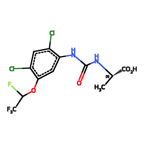 C[C@H](NC(=O)Nc1cc(OC(F)C(F)(F)F)c(Cl)cc1Cl)C(=O)O